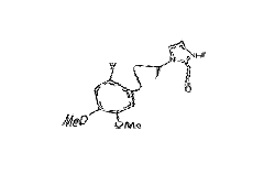 COc1cc(Br)c(CCn2cc[nH]c2=O)cc1OC